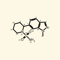 Cn1ncc2ccc(C3CCCCN3S(N)(=O)=O)cc21